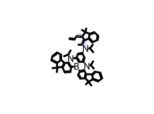 C=C/C=C1\C(=C(/C)N(c2cc3c4c(c2)N(C(C)C)c2c(ccc5c2-c2ccccc2C5(C)C)B4c2ccc4c(c2N3C(C)C)-c2ccccc2C4(C)C)C(C)C)c2ccccc2C1(C)C